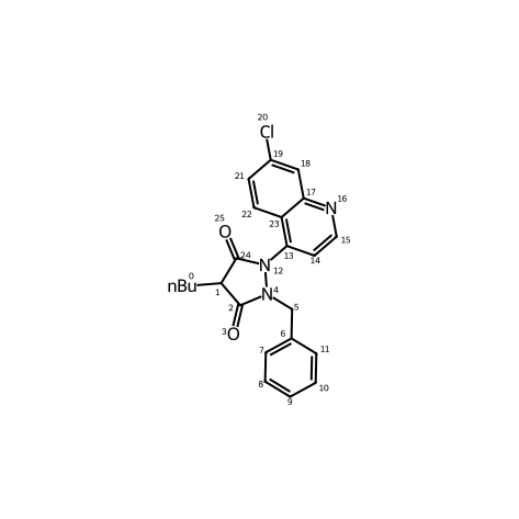 CCCCC1C(=O)N(Cc2ccccc2)N(c2ccnc3cc(Cl)ccc23)C1=O